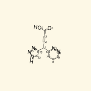 O=C(O)C#CC(c1cccnn1)c1c[nH]nn1